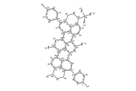 Cc1ccc(-c2cc3c4cc(F)c5c6ccc7c8c(c(-c9ccc(C)cc9)cc(c9cc(F)c(c%10ccc%11c(c2CCC%11C)c3%10)c4c95)c86)CCC7C(F)(F)F)cc1